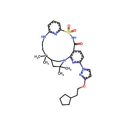 CC1(C)CC2CN1c1nc(-n3ccc(OCCC4CCCC4)n3)ccc1C(=O)NS(=O)(=O)c1cccc(n1)NCC[Si]2(C)C